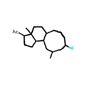 CC(=O)C1CCC2C3CC(C)CC(F)CCCC3CCC12C